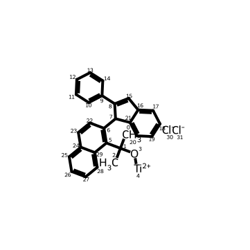 CC(C)([O][Ti+2])c1c(C2C(c3ccccc3)=Cc3ccccc32)ccc2ccccc12.[Cl-].[Cl-]